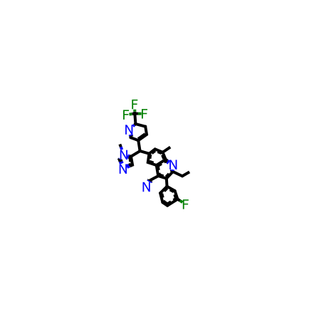 CCc1nc2c(C)cc(C(C3=CCC(C(F)(F)F)N=C3)c3cncn3C)cc2c(C#N)c1-c1cccc(F)c1